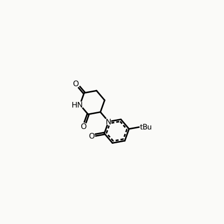 CC(C)(C)c1ccc(=O)n(C2CCC(=O)NC2=O)c1